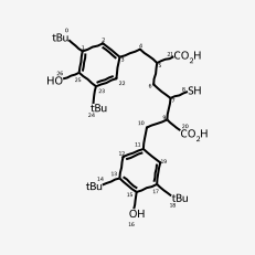 CC(C)(C)c1cc(CC(CC(S)C(Cc2cc(C(C)(C)C)c(O)c(C(C)(C)C)c2)C(=O)O)C(=O)O)cc(C(C)(C)C)c1O